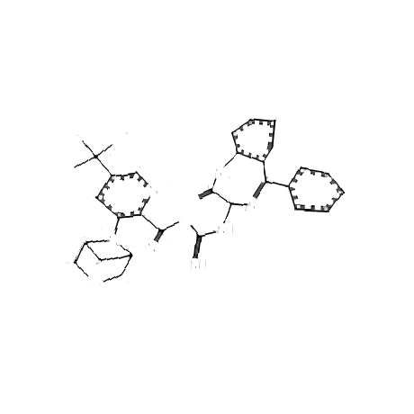 N=C(NC1N=C(c2ccccc2)c2ccccc2NC1=O)OC(=N)c1ncc(C(F)(F)F)cc1N1C2COCC1C2